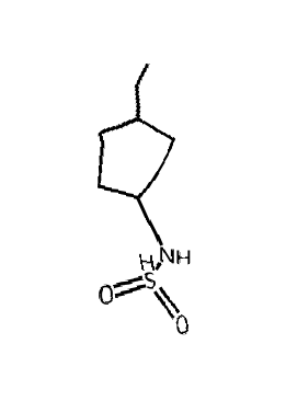 CC1CCC(N[SH](=O)=O)C1